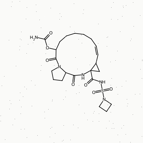 NC(=O)OC1CCCCCC=CC2CC2(C(=O)NS(=O)(=O)N2CCC2)NC(=O)C2CCCN2C1=O